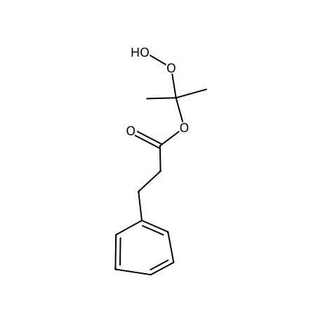 CC(C)(OO)OC(=O)CCc1ccccc1